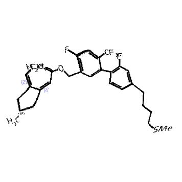 C=C(/C=C1/C[C@H](C)C/C1=C/C)OCc1cc(-c2ccc(CCCCSC)cc2F)c(C(F)(F)F)cc1F